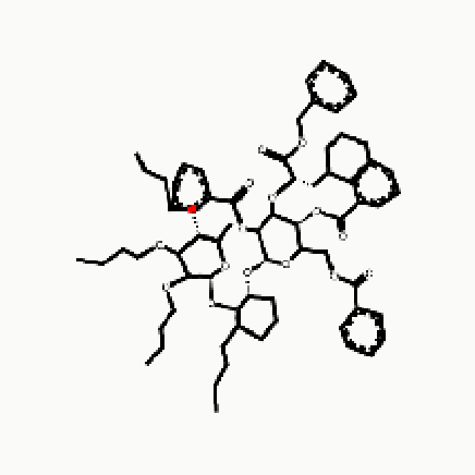 CCCCOC1C(OCCCC)[C@H](OCCCC)C(C)O[C@H]1OC1C(CCCC)CCC[C@H]1O[C@@H]1OC(COC(=O)c2ccccc2)[C@H](OC(=O)c2ccccc2)C(O[C@@H](CC2CCCCC2)C(=O)OCc2ccccc2)C1OC(=O)c1ccccc1